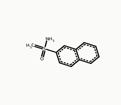 C=S(N)(=O)c1ccc2ccccc2c1